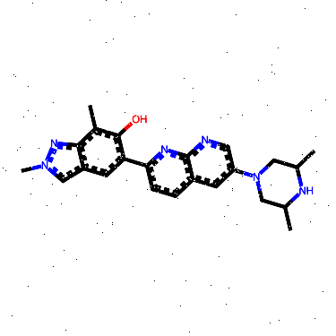 Cc1c(O)c(-c2ccc3cc(N4CC(C)NC(C)C4)cnc3n2)cc2cn(C)nc12